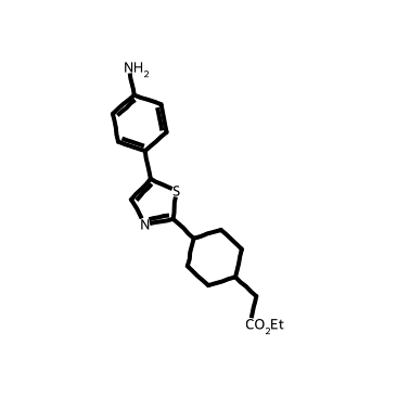 CCOC(=O)CC1CCC(c2ncc(-c3ccc(N)cc3)s2)CC1